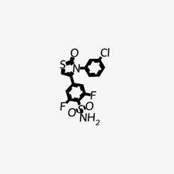 NS(=O)(=O)c1c(F)cc(-c2csc(=O)n2-c2cccc(Cl)c2)cc1F